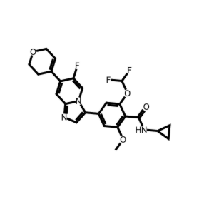 COc1cc(-c2cnc3cc(C4=CCOCC4)c(F)cn23)cc(OC(F)F)c1C(=O)NC1CC1